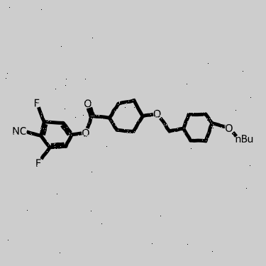 CCCCOC1CCC(COC2CCC(C(=O)Oc3cc(F)c(C#N)c(F)c3)CC2)CC1